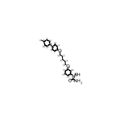 Cc1ccc(-c2ccc(OCCCCCOc3cccc(N(S)C(N)=O)c3)cc2)cc1